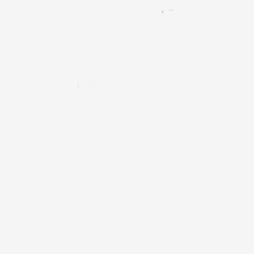 CCCCCCCCCCCCCCCCC(CCCCCCCCCCCCCC(C)CC)C(=O)O